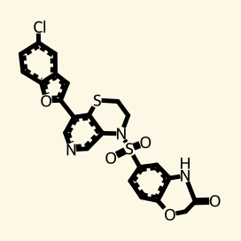 O=C1COc2ccc(S(=O)(=O)N3CCSc4c(-c5cc6cc(Cl)ccc6o5)cncc43)cc2N1